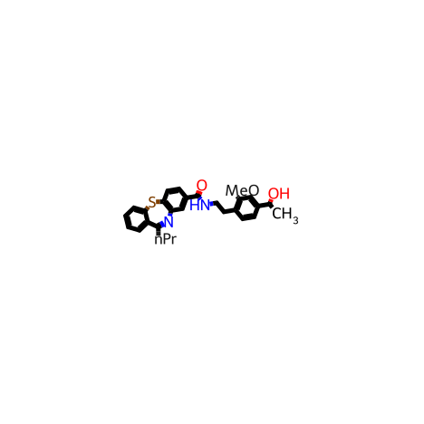 CCCC1=Nc2cc(C(=O)NCCc3ccc(C(C)O)cc3OC)ccc2Sc2ccccc21